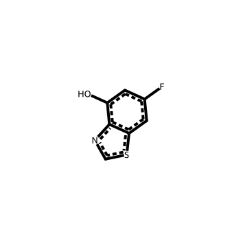 Oc1cc(F)cc2scnc12